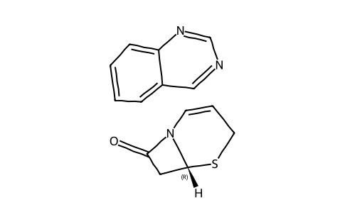 O=C1C[C@H]2SCC=CN12.c1ccc2ncncc2c1